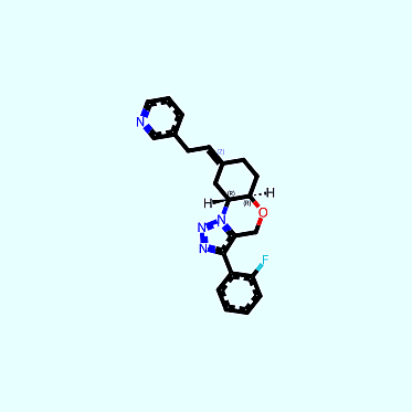 Fc1ccccc1-c1nnn2c1CO[C@@H]1CC/C(=C/Cc3cccnc3)C[C@H]12